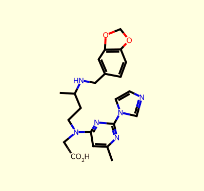 Cc1cc(N(CCC(C)NCc2ccc3c(c2)OCO3)CC(=O)O)nc(-n2ccnc2)n1